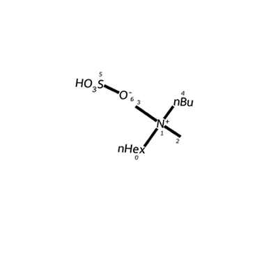 CCCCCC[N+](C)(C)CCCC.O=S(=O)([O-])O